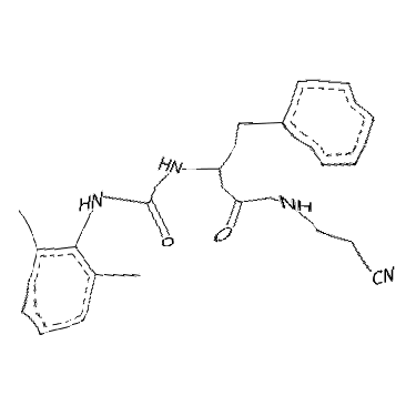 Cc1cccc(C)c1NC(=O)NC(Cc1ccccc1)C(=O)NCCC#N